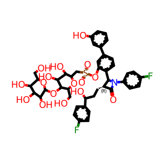 O=C1[C@H](CCC(O)c2ccc(F)cc2)C(c2ccc(-c3cccc(O)c3)cc2OS(=O)(=O)CC2OC(CO)C(OC3OC(CO)C(O)C(O)C3O)C(O)C2O)N1c1ccc(F)cc1